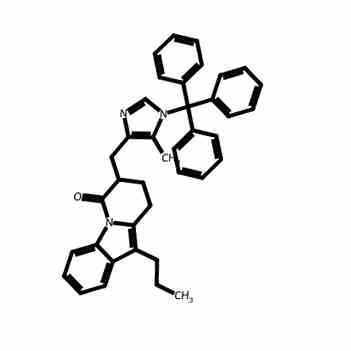 CCCc1c2n(c3ccccc13)C(=O)C(Cc1ncn(C(c3ccccc3)(c3ccccc3)c3ccccc3)c1C)CC2